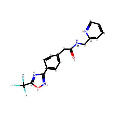 O=C(Cc1ccc(-c2noc(C(F)(F)F)n2)cc1)NCc1ccccn1